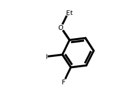 CCOc1cccc(F)c1I